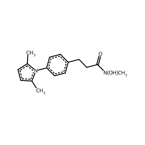 Cc1ccc(C)n1-c1ccc(CCC(=O)N(C)O)cc1